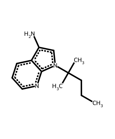 CCCC(C)(C)n1cc(N)c2cccnc21